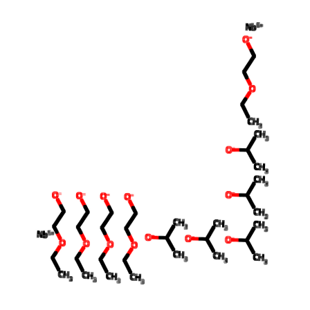 CC(C)[O-].CC(C)[O-].CC(C)[O-].CC(C)[O-].CC(C)[O-].CCOCC[O-].CCOCC[O-].CCOCC[O-].CCOCC[O-].CCOCC[O-].[Nb+5].[Nb+5]